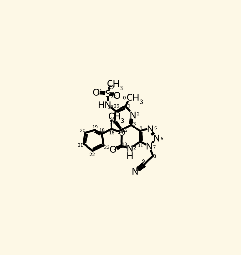 Cc1nc(-c2nnn(CC#N)c2NC(=O)O[C@H](C)c2ccccc2)ccc1NS(C)(=O)=O